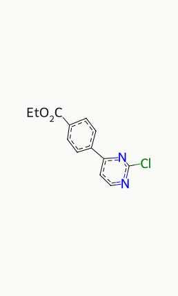 CCOC(=O)c1ccc(-c2ccnc(Cl)n2)cc1